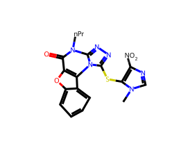 CCCn1c(=O)c2oc3ccccc3c2n2c(Sc3c([N+](=O)[O-])ncn3C)nnc12